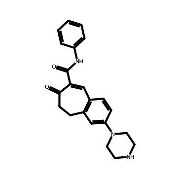 O=C1CCc2cc(N3CCNCC3)ccc2C=C1C(=O)Nc1ccccc1